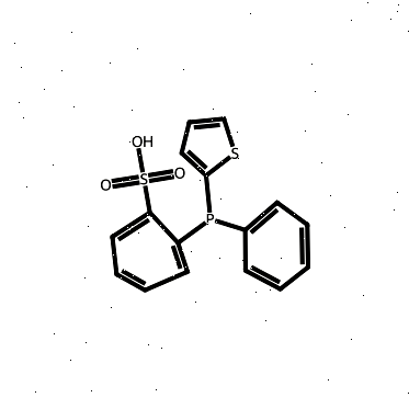 O=S(=O)(O)c1ccccc1P(c1ccccc1)c1cccs1